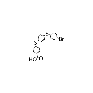 O=C(O)c1ccc(Sc2ccc(Sc3ccc(Br)cc3)cc2)cc1